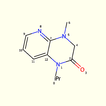 CC(C)N1C(=O)CN(C)c2ncccc21